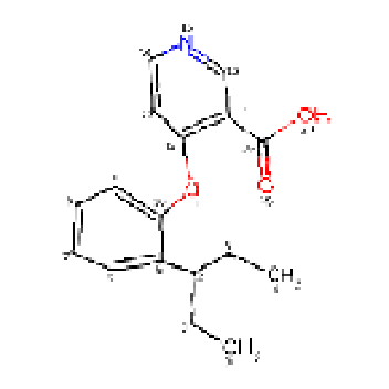 CCC(CC)c1ccccc1Oc1ccncc1C(=O)O